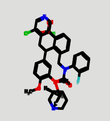 COc1ccc(C(Cc2c(Cl)cncc2Cl)c2c(CN(C(=O)O[C@H]3CN4CCC3CC4)c3ccccc3F)cccc2C(=O)O)cc1OC